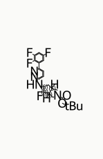 CC(C)(C)OC(=O)N1C[C@H]2C[C@H](Nc3ccc(-c4cc(F)cc(F)c4F)nn3)[C@H](F)[C@H]2C1